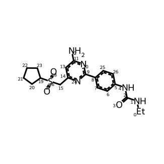 CCNC(=O)Nc1ccc(-c2nc(N)cc(CS(=O)(=O)C3CCCC3)n2)cc1